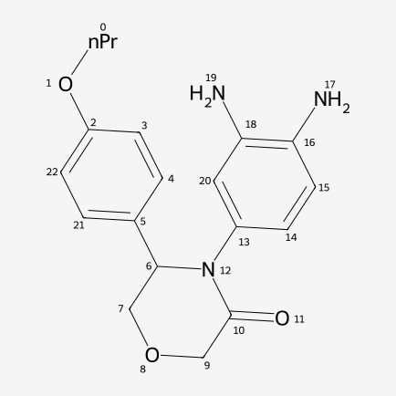 CCCOc1ccc(C2COCC(=O)N2c2ccc(N)c(N)c2)cc1